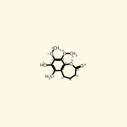 COc1c(O)c(C)c2c(c1OC)OC(=O)CCC2